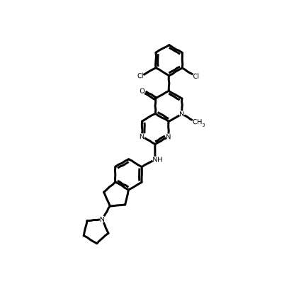 Cn1cc(-c2c(Cl)cccc2Cl)c(=O)c2cnc(Nc3ccc4c(c3)CC(N3CCCC3)C4)nc21